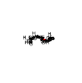 Cn1nc(C2CCC(=O)NC2=O)c2ccc(NC(=O)CN3CCC4(CC3)CC(Oc3cccc(-c5ccc(N6CCc7ccnc(C(=O)Nc8nc9ccccc9s8)c7C6)nc5C(=O)O)c3C(F)(F)F)C4)cc21